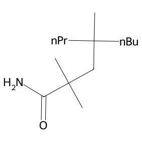 CCCCC(C)(CCC)CC(C)(C)C(N)=O